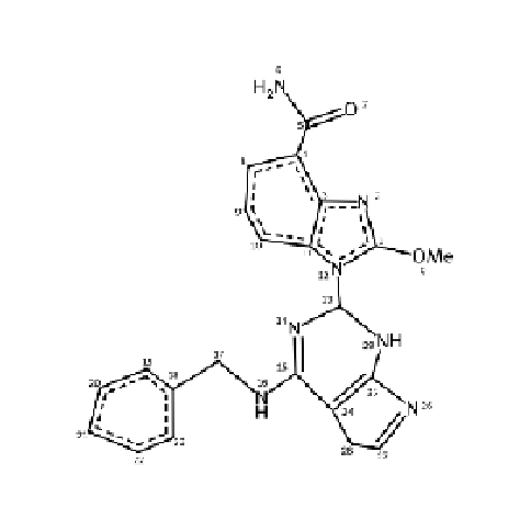 COc1nc2c(C(N)=O)cccc2n1C1N=C(NCc2ccccc2)C2=C(N=CC2)N1